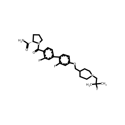 CC(C)(F)CN1CCC(COc2ccc(-c3ccc(C(=O)N4CCC[C@H]4C(N)=O)c(F)c3)c(F)c2)CC1